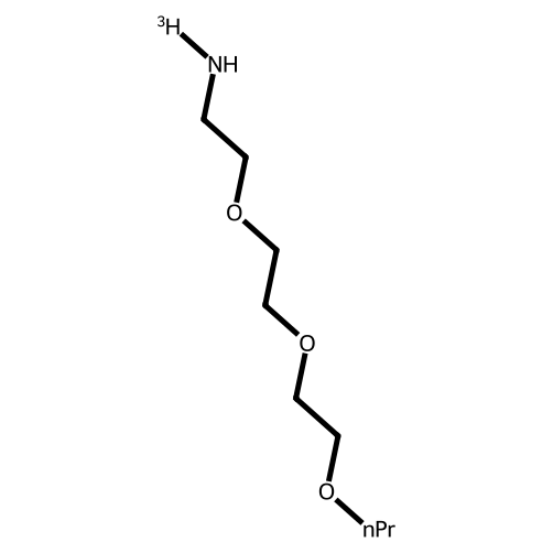 [3H]NCCOCCOCCOCCC